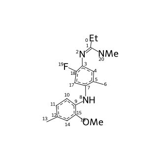 CCC(=Nc1cc(C)c(Nc2ccc(C)cc2OC)cc1F)NC